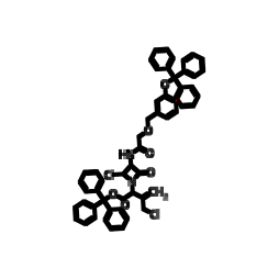 C=C(CCl)C(C(=O)OC(c1ccccc1)(c1ccccc1)c1ccccc1)N1C(=O)C(NC(=O)COCc2cccc(OC(c3ccccc3)(c3ccccc3)c3ccccc3)c2)C1Cl